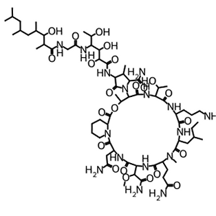 CCC(C)CC1NC(=O)C(CCCN)NC(=O)C(C(C)O)NC(=O)C(N2C(=O)C(NC(=O)C(O)C(O)C(NC(=O)CNC(=O)C(C)C(O)C(C)CC(C)CC(C)C)C(C)O)C(C)C2C(N)=O)C(C)OC(=O)C2CCCCN2C(=O)C(CC(N)=O)NC(=O)C(C(OC)C(N)=O)NC(=O)C(CCC(N)=O)N(C)C1=O